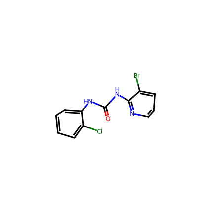 O=C(Nc1ccccc1Cl)Nc1ncccc1Br